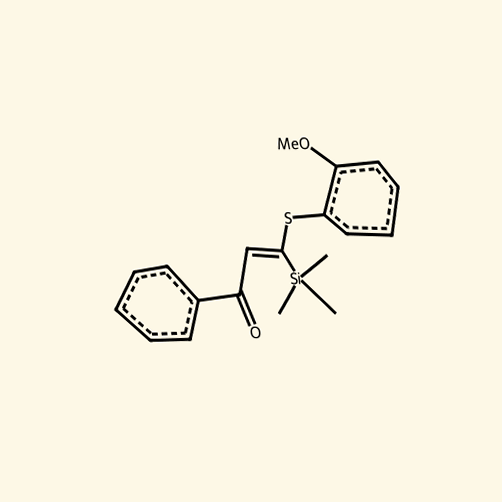 COc1ccccc1S/C(=C/C(=O)c1ccccc1)[Si](C)(C)C